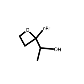 CCCC1(C(C)O)CCO1